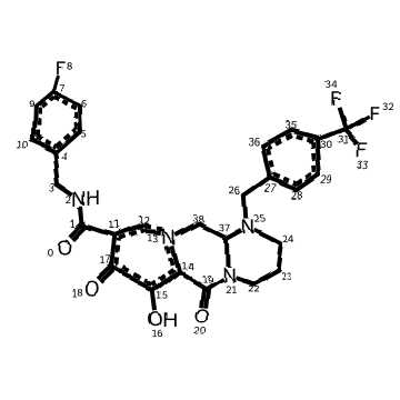 O=C(NCc1ccc(F)cc1)c1cn2c(c(O)c1=O)C(=O)N1CCCN(Cc3ccc(C(F)(F)F)cc3)C1C2